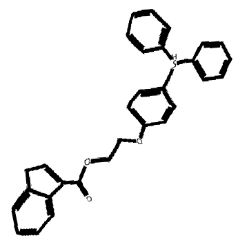 O=C(OCCOc1ccc([SH](c2ccccc2)c2ccccc2)cc1)C1=CCc2ccccc21